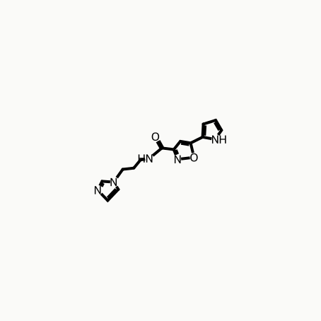 O=C(NCCCn1ccnc1)c1cc(-c2ccc[nH]2)on1